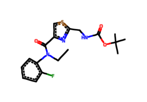 CCN(C(=O)c1csc(CNC(=O)OC(C)(C)C)n1)c1ccccc1F